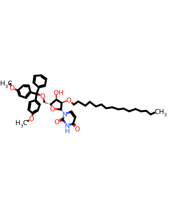 CCCCCCCCCCCCCCCCO[C@@H]1[C@H](O)[C@@H](COC(c2ccccc2)(c2ccc(OC)cc2)c2ccc(OC)cc2)O[C@H]1n1ccc(=O)[nH]c1=O